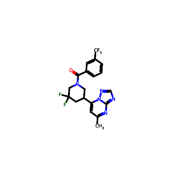 Cc1cc(C2CN(C(=O)c3cccc(C(F)(F)F)c3)CC(F)(F)C2)n2ncnc2n1